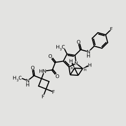 CNC(=O)C1(NC(=O)C(=O)c2c(C)c(C(=O)Nc3ccc(F)cc3)n3c2C2C4[C@H]2[C@@H]43)CC(F)(F)C1